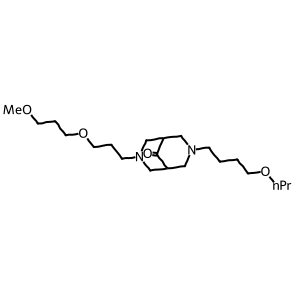 CCCOCCCCN1CC2CN(CCCOCCCOC)CC(C1)C2=O